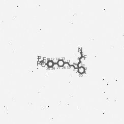 N#CC(F)=CC=CC1(CCCCC2CCC(c3ccc(OC(F)(F)F)cc3)CC2)CCCCC1